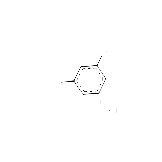 Cl.O=S(=O)(O)c1cccc(S(=O)(=O)O)c1.[KH]